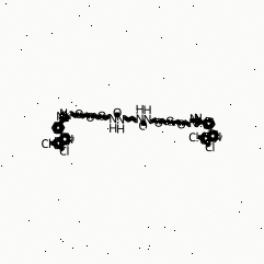 CN1Cc2c(Cl)cc(Cl)cc2[C@H](c2cccc(-c3cn(CCOCCOCCOCCNC(=O)NCCCCNC(=O)NCCOCCOCCOCCn4cc(-c5cccc([C@@H]6CN(C)Cc7c(Cl)cc(Cl)cc76)c5)nn4)nn3)c2)C1